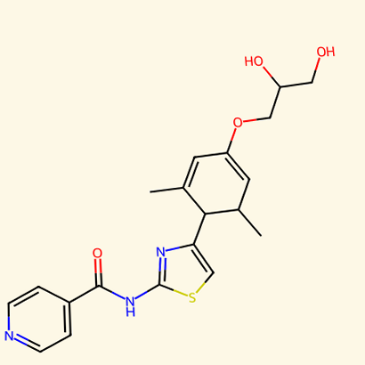 CC1=CC(OCC(O)CO)=CC(C)C1c1csc(NC(=O)c2ccncc2)n1